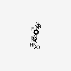 CC(=O)NCc1cn(-c2ccc(-n3cncn3)c(F)c2)nn1